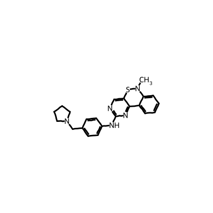 CN1Sc2cnc(Nc3ccc(CN4CCCC4)cc3)nc2-c2ccccc21